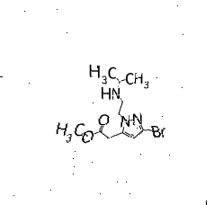 COC(=O)Cc1cc(Br)nn1CCNC(C)C